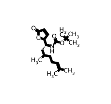 CC(C)=CCCC(C)C[C@@H](NC(=O)OC(C)(C)C)C1C=CC(=O)O1